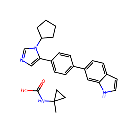 CC1(NC(=O)O)CC1.c1cc2ccc(-c3ccc(-c4cncn4C4CCCC4)cc3)cc2[nH]1